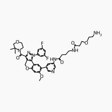 COc1cc2c(cc1-c1cncc(NC(=O)CCCNC(=O)CCOCCN)c1)-c1c(c(C(=O)N3CCOCC3(C)C)nn1-c1cc(F)cc(F)c1)CO2